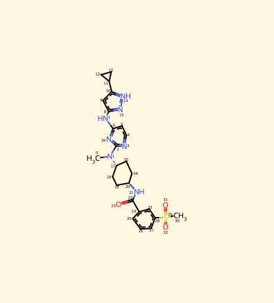 CN(c1nccc(Nc2cc(C3CC3)[nH]n2)n1)[C@H]1CC[C@H](NC(=O)c2cccc(S(C)(=O)=O)c2)CC1